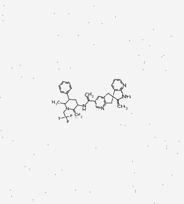 C=C(NC1CC(c2ccccc2)C(C)N(CC(F)(F)F)C1=C)c1cnc2c(c1)CC1(C2)C(=C)Nc2ncccc21